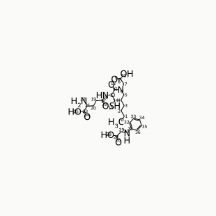 CCCCCCN(CC(=O)O)C(=O)C(CS)NC(=O)CCC(N)C(=O)O.O=C(O)CNc1ccccc1